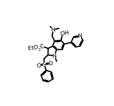 CCOC(=O)C1c2c(cc(-c3cccnc3)c(O)c2CN(C)C)N(C)C1CS(=O)(=O)c1ccccc1